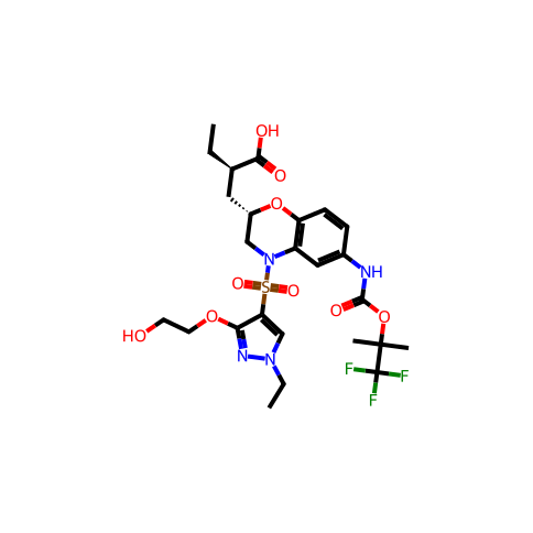 CC[C@H](C[C@H]1CN(S(=O)(=O)c2cn(CC)nc2OCCO)c2cc(NC(=O)OC(C)(C)C(F)(F)F)ccc2O1)C(=O)O